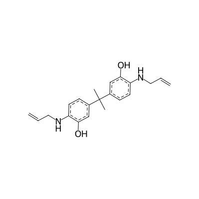 C=CCNc1ccc(C(C)(C)c2ccc(NCC=C)c(O)c2)cc1O